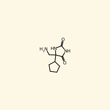 NCC1(C2CCCC2)NC(=O)NC1=O